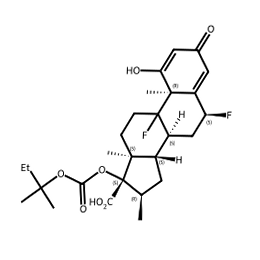 CCC(C)(C)OC(=O)O[C@@]1(C(=O)O)[C@H](C)C[C@H]2[C@@H]3C[C@H](F)C4=CC(=O)C=C(O)[C@]4(C)C3(F)CC[C@@]21C